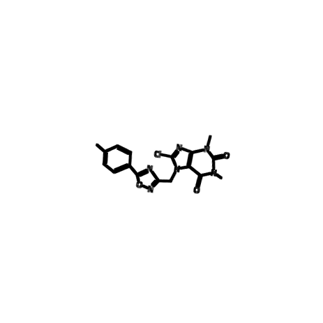 Cc1ccc(-c2nc(Cn3c(Cl)nc4c3c(=O)n(C)c(=O)n4C)no2)cc1